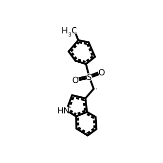 Cc1ccc(S(=O)(=O)[CH]c2c[nH]c3ccccc23)cc1